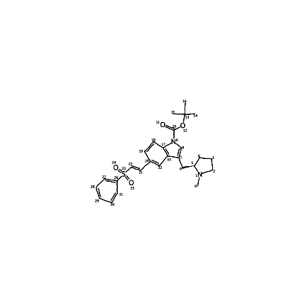 CN1CCC[C@@H]1Cc1cn(C(=O)OC(C)(C)C)c2ccc(/C=C/S(=O)(=O)c3ccccc3)cc12